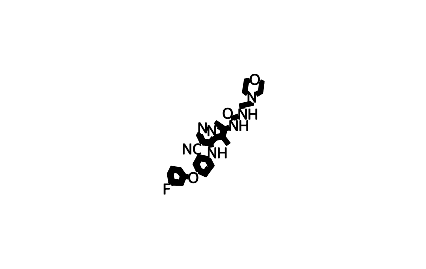 Cc1c(NC(=O)NCCN2CCOCC2)cn2ncc(C#N)c(Nc3ccc(Oc4cccc(F)c4)cc3)c12